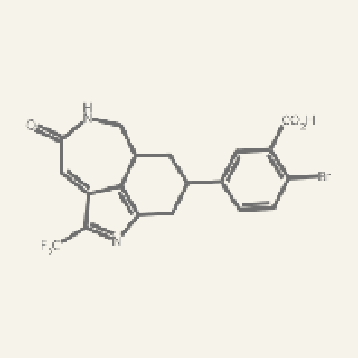 O=C1C=C2C(C(F)(F)F)=NC3=C2C(CN1)CC(c1ccc(Br)c(C(=O)O)c1)C3